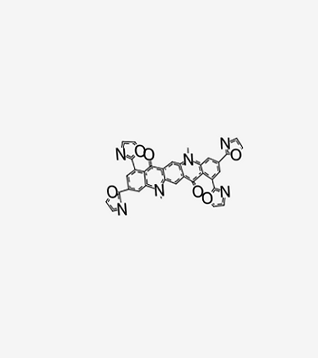 Cn1c2cc3c(=O)c4c(-c5ncco5)cc(-c5ncco5)cc4n(C)c3cc2c(=O)c2c(-c3ncco3)cc(-c3ncco3)cc21